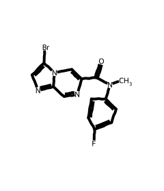 CN(C(=O)c1cn2c(Br)cnc2cn1)c1ccc(F)cc1